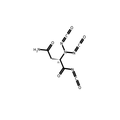 NC(=O)C[C@@H](C(=O)N=C=O)N(N=C=O)N=C=O